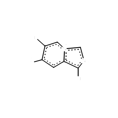 O=Cc1ncn2cc(F)c(Br)cc12